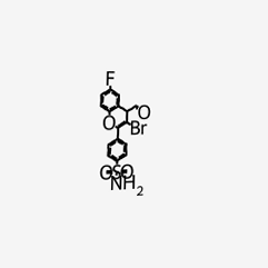 NS(=O)(=O)c1ccc(C2=C(Br)C(C=O)c3cc(F)ccc3O2)cc1